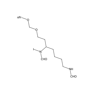 CCCOCOCCC(CCCCNC=O)N(I)C=O